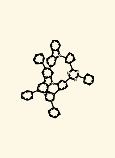 c1ccc(-c2cccc(-c3ccc(-c4nc(-c5ccccc5)nc(-c5cccc(-n6c7ccccc7c7ccccc76)c5)n4)cc3-n3c4ccc(-c5ccccc5)cc4c4cc(-c5ccccc5)ccc43)c2)cc1